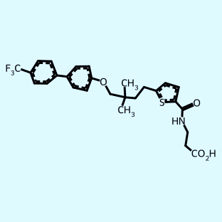 CC(C)(CCc1ccc(C(=O)NCCC(=O)O)s1)COc1ccc(-c2ccc(C(F)(F)F)cc2)cc1